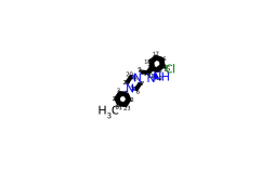 Cc1ccc(N2CCN(Cc3n[nH]c4c(Cl)cccc34)CC2)cc1